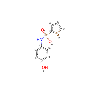 O=S(=O)(Nc1ccc(O)cc1)c1cccs1